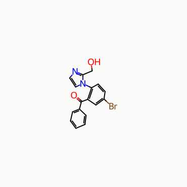 O=C(c1ccccc1)c1cc(Br)ccc1-n1ccnc1CO